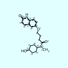 CN(C(=O)CCCOc1ccc2[nH]c(=O)ccc2c1)C1CCC(O)CC1